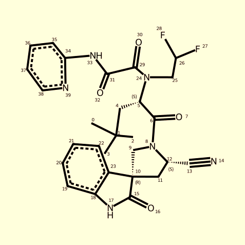 CC(C)(C)C[C@@H](C(=O)N1C[C@]2(C[C@H]1C#N)C(=O)Nc1ccccc12)N(CC(F)F)C(=O)C(=O)Nc1ccccn1